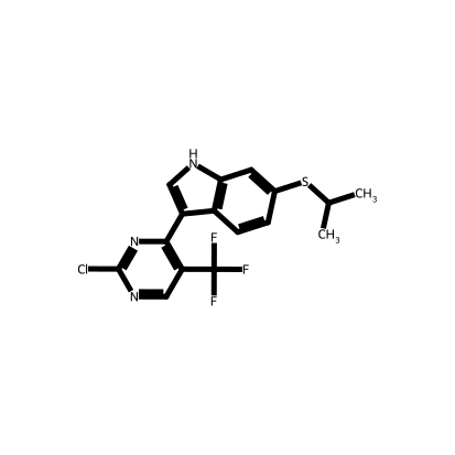 CC(C)Sc1ccc2c(-c3nc(Cl)ncc3C(F)(F)F)c[nH]c2c1